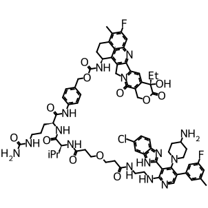 CC[C@@]1(O)C(=O)OCc2c1cc1n(c2=O)Cc2c-1nc1cc(F)c(C)c3c1c2[C@@H](NC(=O)OCc1ccc(NC(=O)[C@H](CCCNC(N)=O)NC(=O)[C@@H](NC(=O)CCOCCC(=O)NCCNc2ncc(-c4cc(C)cc(F)c4)c(N4CCC(N)CC4)c2-c2nc4ccc(Cl)cc4[nH]2)C(C)C)cc1)CC3